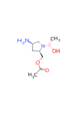 CB(O)N1C[C@H](N)C[C@@H]1COC(C)=O